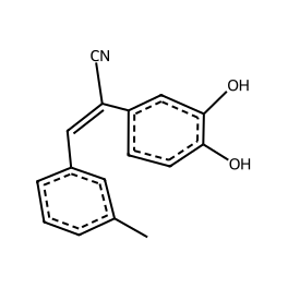 Cc1cccc(C=C(C#N)c2ccc(O)c(O)c2)c1